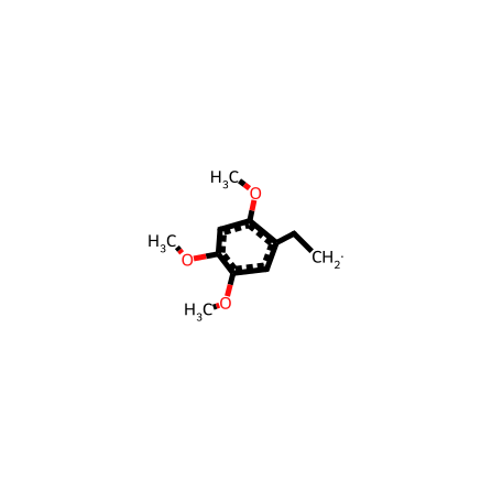 [CH2]Cc1cc(OC)c(OC)cc1OC